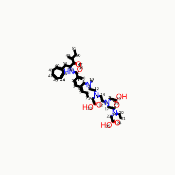 C=C(/C=C\C(=CCC)CN(C)CCN(CCN(CCN(CC)CC(=O)O)CC(=O)O)CC(=O)O)C(=O)NC(CC1=CCC=CC=C1)C(=O)C(C)CC